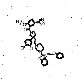 COc1ccc(-n2cnnn2)cc1C(=O)N1CCC(CCN2CCCN(c3nc4ccccc4n3CCOc3ccccc3)CC2)(c2ccc(Cl)c(Cl)c2)C1